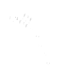 COCCOCCOCCOCCOCC(F)(F)C(F)(F)C(F)(F)CN